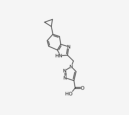 O=C(O)c1cn(Cc2nc3cc(C4CC4)ccc3[nH]2)nn1